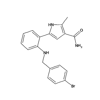 Cc1[nH]c(-c2ccccc2NCc2ccc(Br)cc2)cc1C(N)=O